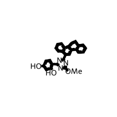 COc1nc(-c2ccc(O)cc2O)nc(-c2cc3c4ccccc4ccc3c3ccccc23)n1